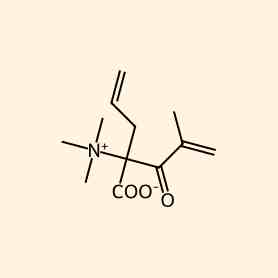 C=CCC(C(=O)[O-])(C(=O)C(=C)C)[N+](C)(C)C